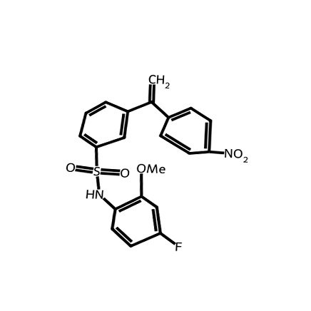 C=C(c1ccc([N+](=O)[O-])cc1)c1cccc(S(=O)(=O)Nc2ccc(F)cc2OC)c1